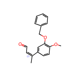 COc1ccc(/C(C)=C\C=O)cc1OCc1ccccc1